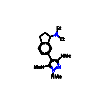 CCN(CC)C1CCc2ccc(-c3c(NC)nn(NC)c3NC)cc21